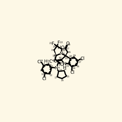 C[C@@H](C(=O)N(c1cc(Cl)cc(Cl)c1)C1CCCC1)[C@H]1CC(F)(F)CN1[C@@]1(CC(=O)O)C(=O)Nc2c(Cl)cc(Cl)cc21